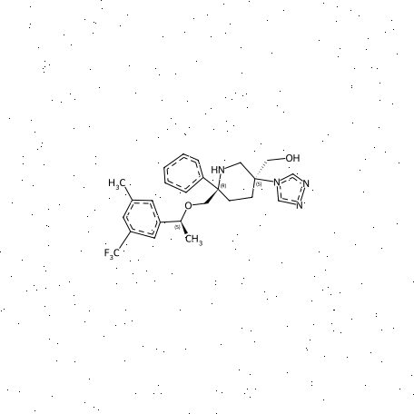 Cc1cc([C@H](C)OC[C@]2(c3ccccc3)CC[C@](CO)(n3cnnc3)CN2)cc(C(F)(F)F)c1